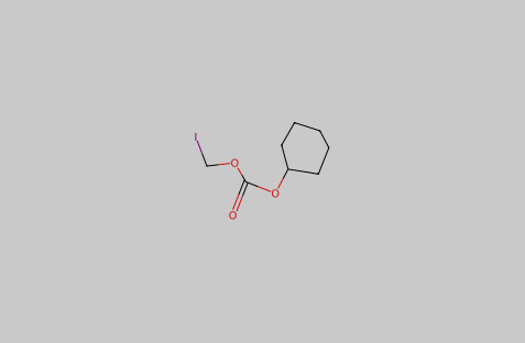 O=C(OCI)OC1CCCCC1